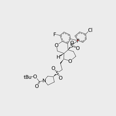 CC(C)(C)OC(=O)N1CC[C@H](S(=O)(=O)CC[C@@H]2OCC[C@@]3(S(=O)(=O)c4ccc(Cl)cc4)c4c(F)ccc(F)c4OC[C@@H]23)C1